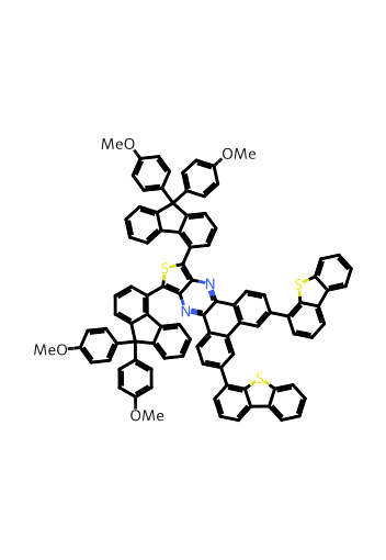 COc1ccc(C2(c3ccc(OC)cc3)c3ccccc3-c3c(-c4sc(-c5cccc6c5-c5ccccc5C6(c5ccc(OC)cc5)c5ccc(OC)cc5)c5nc6c7ccc(-c8cccc9c8sc8ccccc89)cc7c7cc(-c8cccc9c8sc8ccccc89)ccc7c6nc45)cccc32)cc1